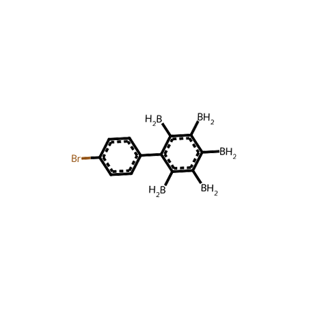 Bc1c(B)c(B)c(-c2ccc(Br)cc2)c(B)c1B